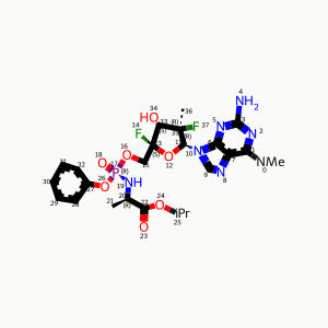 CNc1nc(N)nc2c1ncn2[C@@H]1O[C@](F)(CO[P@](=O)(N[C@H](C)C(=O)OC(C)C)Oc2ccccc2)[C@@H](O)[C@@]1(C)F